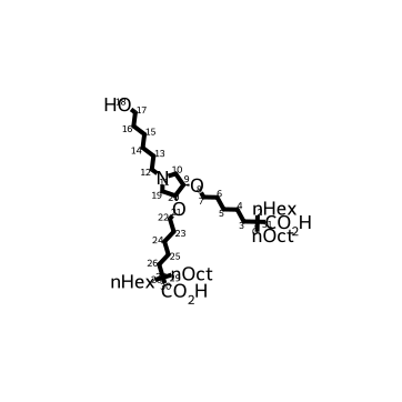 CCCCCCCCC(CCCCCC)(CCCCCO[C@H]1CN(CCCCCCO)C[C@H]1OCCCCCC(CCCCCC)(CCCCCCCC)C(=O)O)C(=O)O